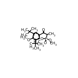 COc1c(C(C)(C)C)cc(C(=O)C(C)P(=O)(OC)OC)cc1C(C)(C)C